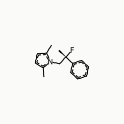 Cc1ccc(C)n1C[C@](C)(F)c1ccccc1